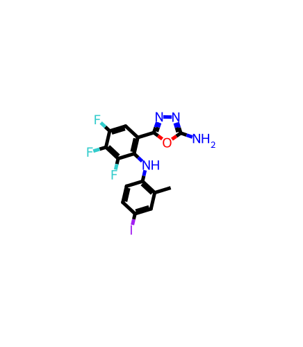 Cc1cc(I)ccc1Nc1c(-c2nnc(N)o2)cc(F)c(F)c1F